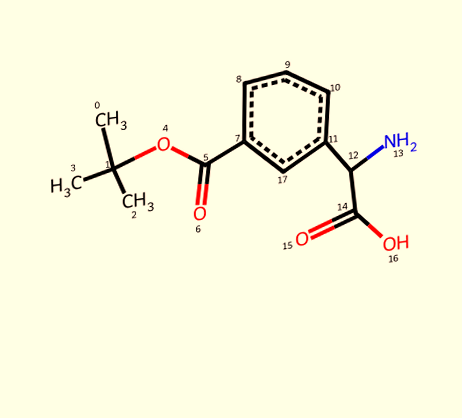 CC(C)(C)OC(=O)c1cccc(C(N)C(=O)O)c1